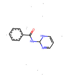 O=C(NC1N=CC=CN1)c1ccccc1